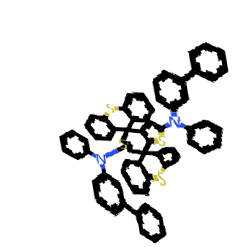 c1ccc(-c2cccc(N(c3ccccc3)c3cc4c(s3)C3(c5ccccc5Sc5ccccc53)c3cc(N(c5ccccc5)c5cccc(-c6ccccc6)c5)sc3C43c4ccccc4Sc4ccccc43)c2)cc1